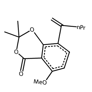 C=C(CCC)c1ccc(OC)c2c1OC(C)(C)OC2=O